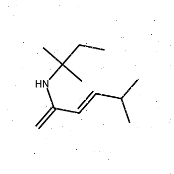 C=C(C=CC(C)C)NC(C)(C)CC